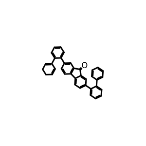 O=C1c2cc(-c3ccccc3C3=CCCC=C3)ccc2-c2ccc(-c3ccccc3-c3ccccc3)cc21